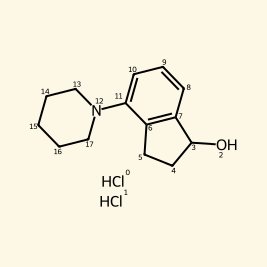 Cl.Cl.OC1CCc2c1cccc2N1CCCCC1